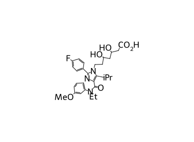 CCN(C(=O)c1nc(-c2ccc(F)cc2)n(CC[C@@H](O)C[C@@H](O)CC(=O)O)c1C(C)C)c1cccc(OC)c1